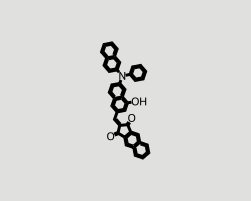 O=C1C(=Cc2cc(O)c3cc(N(c4ccccc4)c4ccc5ccccc5c4)ccc3c2)C(=O)c2cc3ccccc3cc21